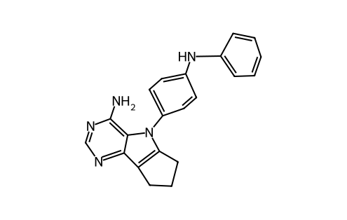 Nc1ncnc2c3c(n(-c4ccc(Nc5ccccc5)cc4)c12)CCC3